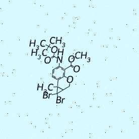 COC(=O)c1c(NC(=O)OC(C)(C)C)ccc2c1OCC1C(Br)(Br)C21C